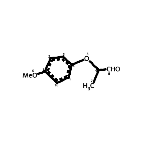 COc1ccc(OC(C)C=O)cc1